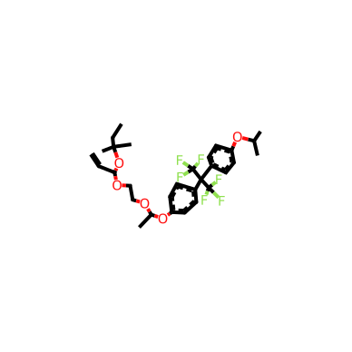 C=CC(OCCOC(C)Oc1ccc(C(c2ccc(OC(C)C)cc2)(C(F)(F)F)C(F)(F)F)cc1)OC(C)(C)CC